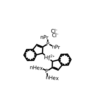 CCCCCCP(CCCCCC)C1=Cc2ccccc2[CH]1[Hf+2][CH]1C(P(CCC)CCC)=Cc2ccccc21.[Cl-].[Cl-]